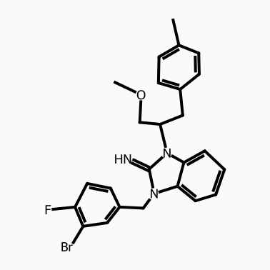 COCC(Cc1ccc(C)cc1)n1c(=N)n(Cc2ccc(F)c(Br)c2)c2ccccc21